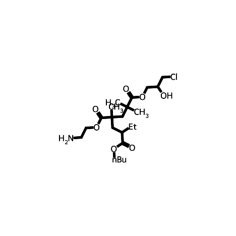 CCCCOC(=O)C(CC)CC(C)(CC(C)(C)C(=O)OCC(O)CCl)C(=O)OCCN